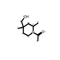 CC(=O)N1CCC(C)(CO)CC1C